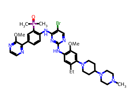 CCc1cc(Nc2ncc(Br)c(Nc3ccc(-c4nccnc4OC)cc3P(C)(C)=O)n2)c(OC)cc1N1CCC(N2CCN(C)CC2)CC1